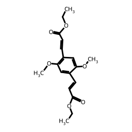 CCOC(=O)/C=C/c1cc(OC)c(/C=C/C(=O)OCC)cc1OC